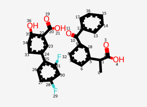 CC(C(=O)O)c1cccc(C(=O)c2ccccc2)c1.O=C(O)c1cc(-c2ccc(F)cc2F)ccc1O